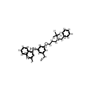 Cc1cc(Nc2cc(CF)cc(OCCCN(Cc3ccccc3)C(C)(C)C)c2)c2ccccc2n1